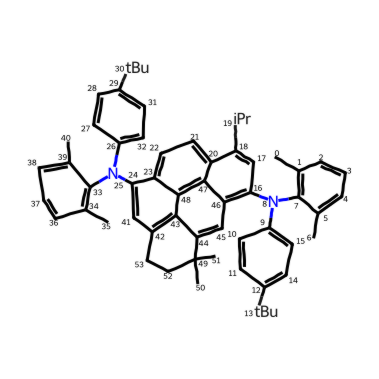 Cc1cccc(C)c1N(c1ccc(C(C)(C)C)cc1)c1cc(C(C)C)c2ccc3c(N(c4ccc(C(C)(C)C)cc4)c4c(C)cccc4C)cc4c5c(cc1c2c35)C(C)(C)CC4